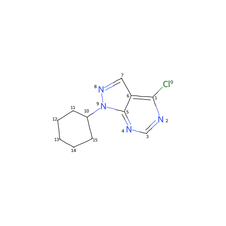 Clc1ncnc2c1cnn2C1CCCCC1